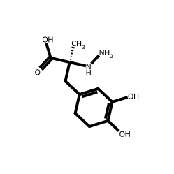 C[C@@](CC1=CC(O)=C(O)CC1)(NN)C(=O)O